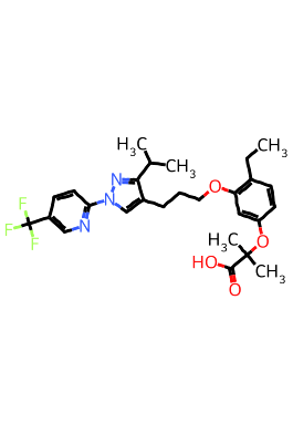 CCc1ccc(OC(C)(C)C(=O)O)cc1OCCCc1cn(-c2ccc(C(F)(F)F)cn2)nc1C(C)C